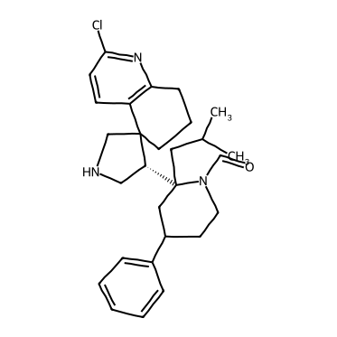 CC(C)CC1([C@@H]2CNCC23CCCc2nc(Cl)ccc23)CC(c2ccccc2)CCN1C=O